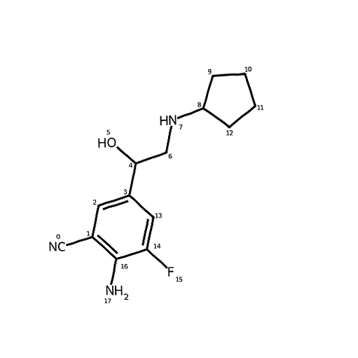 N#Cc1cc(C(O)CNC2CCCC2)cc(F)c1N